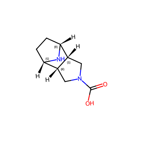 O=C(O)N1C[C@@H]2[C@H](C1)[C@@H]1CC[C@H]2N1